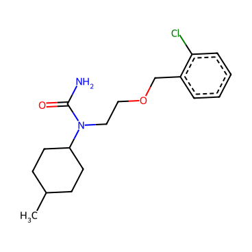 CC1CCC(N(CCOCc2ccccc2Cl)C(N)=O)CC1